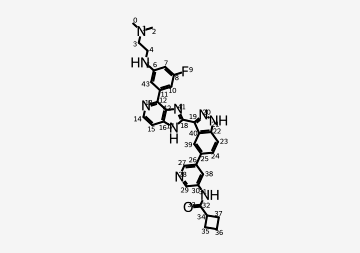 CN(C)CCNc1cc(F)cc(-c2nccc3[nH]c(-c4n[nH]c5ccc(-c6cncc(NC(=O)C7CCC7)c6)cc45)nc23)c1